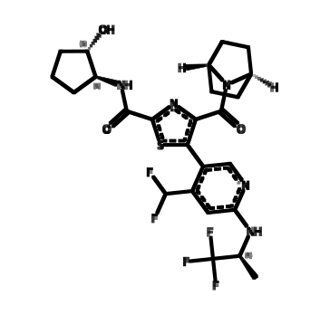 C[C@H](Nc1cc(C(F)F)c(-c2sc(C(=O)N[C@H]3CCC[C@@H]3O)nc2C(=O)N2[C@H]3CC[C@H]2CC3)cn1)C(F)(F)F